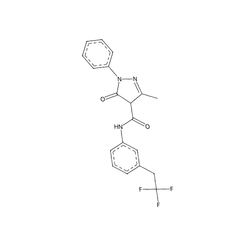 CC1=NN(c2ccccc2)C(=O)C1C(=O)Nc1cccc(CC(F)(F)F)c1